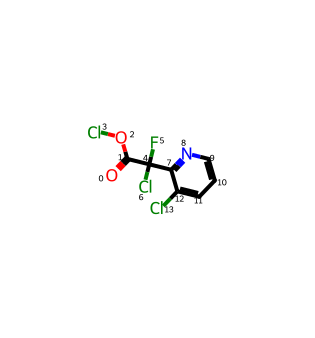 O=C(OCl)C(F)(Cl)c1ncccc1Cl